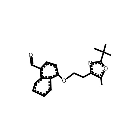 Cc1oc(C(C)(C)C)nc1CCOc1ccc(C=O)c2ccccc12